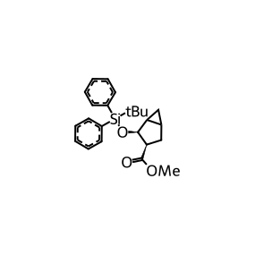 COC(=O)[C@@H]1CC2CC2[C@@H]1O[Si](c1ccccc1)(c1ccccc1)C(C)(C)C